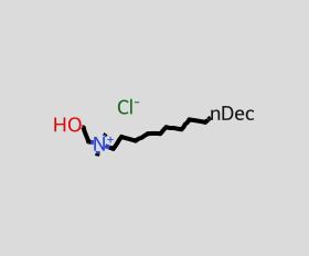 CCCCCCCCCCCCCCCCCCC[N+](C)(C)CCO.[Cl-]